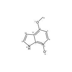 COc1cc[n+]([O-])c2[nH]ccc12